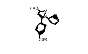 COc1ccc(-c2cc(O)nn2-c2ccccc2)cc1